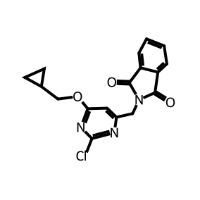 O=C1c2ccccc2C(=O)N1Cc1cc(OCC2CC2)nc(Cl)n1